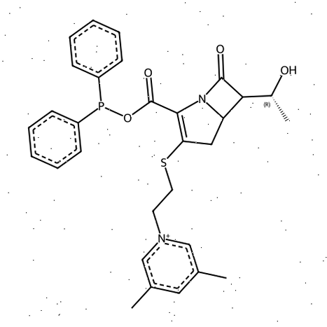 Cc1cc(C)c[n+](CCSC2=C(C(=O)OP(c3ccccc3)c3ccccc3)N3C(=O)C([C@@H](C)O)C3C2)c1